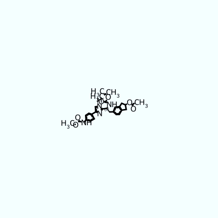 COC(=O)Nc1ccc(-c2c[nH]c([C@H](Cc3ccc4c(c3)CC(OC(C)=O)C4)NC(=O)OC(C)(C)C)n2)cc1